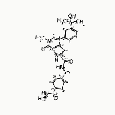 Cn1cc(-c2cccc(C(C)(C)O)c2)c2cc(C(=O)NCc3ccc(C(=O)NO)cc3)[nH]c2c1=O